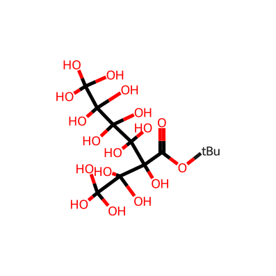 CC(C)(C)OC(=O)C(O)(C(O)(O)C(O)(O)O)C(O)(O)C(O)(O)C(O)(O)C(O)(O)O